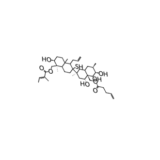 C=CCCC(=O)OC[C@@]12C(C[C@@H](C)[C@@H](O)[C@@H]1O)C[C@](C)(C1(S)CCC3C(C)(CC[C@H](O)[C@]3(C)COC(=O)/C(C)=C/C)C1CC=C)C[C@H]2O